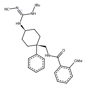 COc1ccccc1C(=O)NC[C@]1(c2ccccc2)CC[C@H](N/C(=N\C#N)NC(C)(C)C)CC1